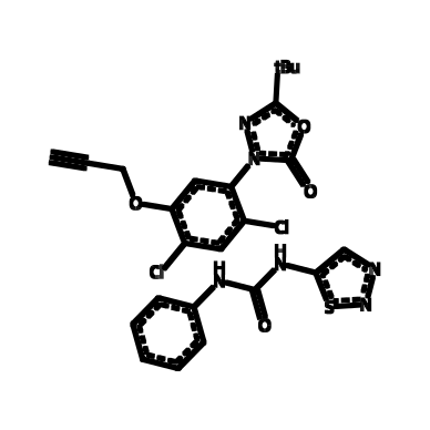 C#CCOc1cc(-n2nc(C(C)(C)C)oc2=O)c(Cl)cc1Cl.O=C(Nc1ccccc1)Nc1cnns1